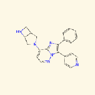 c1ccc(-c2nc3c(N4CC5CNC5C4)ccnn3c2-c2ccncc2)cc1